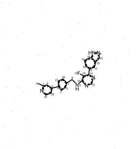 Cc1cc(-c2ccc(CNc3ncnc(-c4ccc5[nH]ncc5c4)c3F)cc2)ccn1